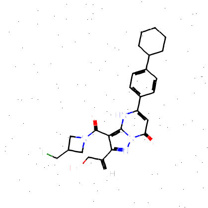 C=C(CO)c1nn2c(=O)cc(-c3ccc(C4CCCCC4)cc3)[nH]c2c1C(=O)N1CC(CF)C1